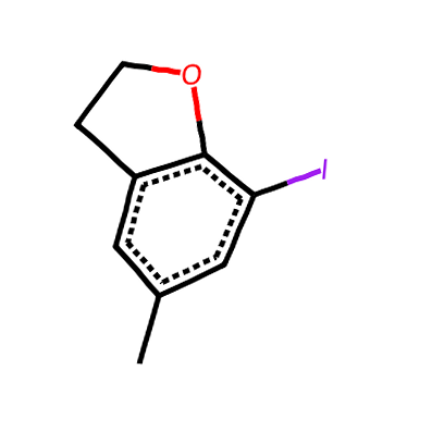 Cc1cc(I)c2c(c1)CCO2